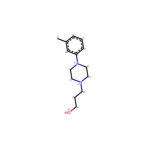 Cc1cccc(N2CCN(CCCO)CC2)c1